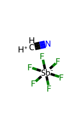 C#N.[F][Sb-]([F])([F])([F])([F])[F].[H+]